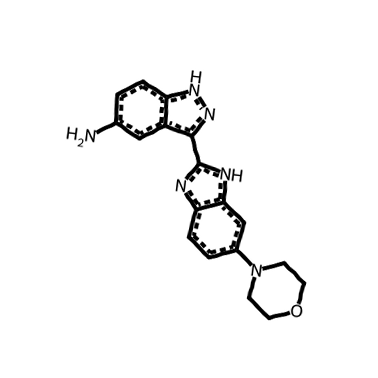 Nc1ccc2[nH]nc(-c3nc4ccc(N5CCOCC5)cc4[nH]3)c2c1